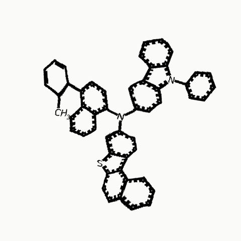 CC1C=CC=CC1c1ccc(N(c2ccc3c(c2)sc2ccc4ccccc4c23)c2ccc3c(c2)c2ccccc2n3-c2ccccc2)c2ccccc12